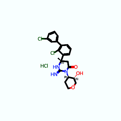 C[C@@]1(c2cccc(-c3cccc(Cl)c3)c2Cl)CC(=O)N([C@@H]2CCOC[C@H]2O)C(=N)N1.Cl